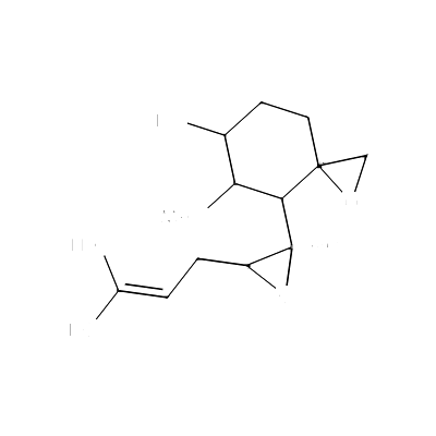 COC1C(O)CCC2(CO2)C1[C@@]1(C)OC1CC=C(C)C